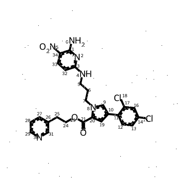 Nc1nc(NCCCn2cc(-c3ccc(Cl)cc3Cl)cc2C(=O)OCCc2cccnc2)ccc1[N+](=O)[O-]